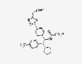 CCCCCCCCCCCc1noc(-c2ccc(C(NC(=O)C(=O)O)C(c3ccc(C(F)(F)F)cc3)C3CCCC3)cc2)n1